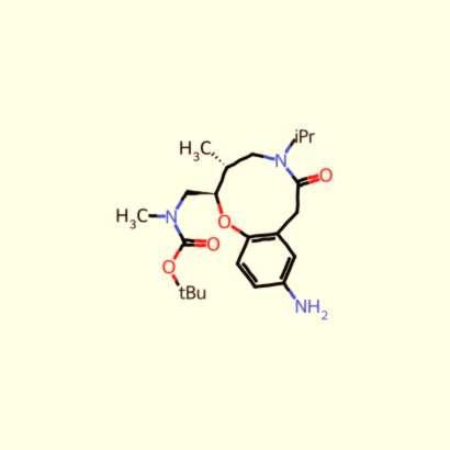 CC(C)N1C[C@@H](C)[C@H](CN(C)C(=O)OC(C)(C)C)Oc2ccc(N)cc2CC1=O